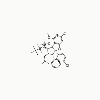 COc1nc(Cl)cc2c1[C@]1(O[Si](C)(C)C)[C@H](O[Si](C)(C)C(C)(C)C)[C@H](CN(C)C)[C@@H](c3ccccc3)[C@]1(c1ccc(Cl)cc1)O2